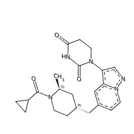 C[C@H]1C[C@H](Cc2ccn3ncc(N4CCC(=O)NC4=O)c3c2)CCN1C(=O)C1CC1